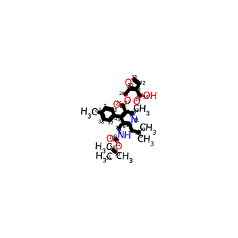 Cc1ccc(-c2c(CNC(=O)OC(C)(C)C)c(CC(C)C)nc(C)c2C(=O)OCc2occc2C(=O)O)cc1